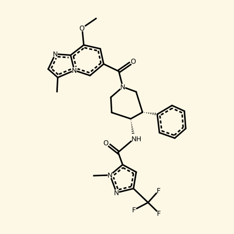 COc1cc(C(=O)N2CC[C@@H](NC(=O)c3cc(C(F)(F)F)nn3C)[C@@H](c3ccccc3)C2)cn2c(C)cnc12